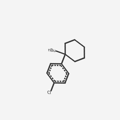 CCCCC1(c2ccc(Cl)cc2)CCCCC1